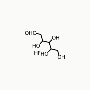 F.O=CCC(O)C(O)C(O)CO